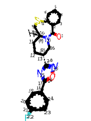 O=C1c2ccccc2SC[C@H]2CC[C@@H](c3noc(-c4ccc(F)cc4)n3)CN12